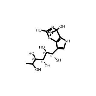 CC(O)[C@@H](O)[C@@H](O)[C@@H](O)[C@@H](S)c1c[nH]c2c1N1NC2(O)N=C1O